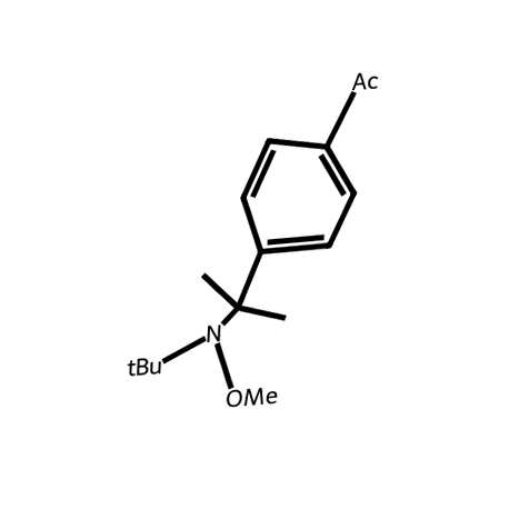 CON(C(C)(C)C)C(C)(C)c1ccc(C(C)=O)cc1